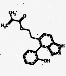 C=C(C)C(=O)OCCc1ccc2[nH]nnc2c1-c1ccccc1O